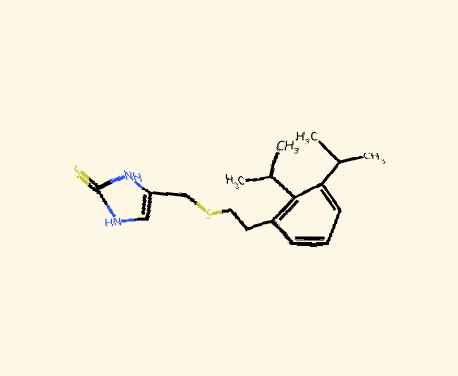 CC(C)c1cccc(CCSCc2c[nH]c(=S)[nH]2)c1C(C)C